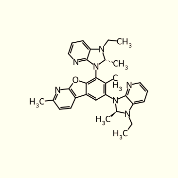 CCN1c2cccnc2N(c2cc3c(oc4nc(C)ccc43)c(N3c4ncccc4N(CC)[C@@H]3C)c2C)[C@@H]1C